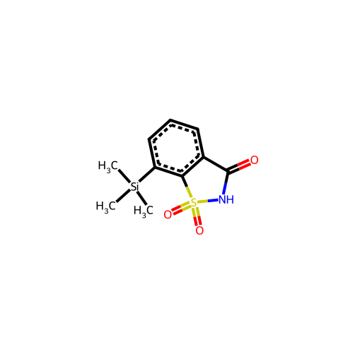 C[Si](C)(C)c1cccc2c1S(=O)(=O)NC2=O